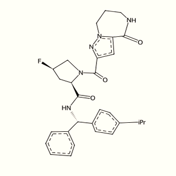 CC(C)c1ccc([C@@H](NC(=O)[C@H]2C[C@@H](F)CN2C(=O)c2cc3n(n2)CCCNC3=O)c2ccccc2)cc1